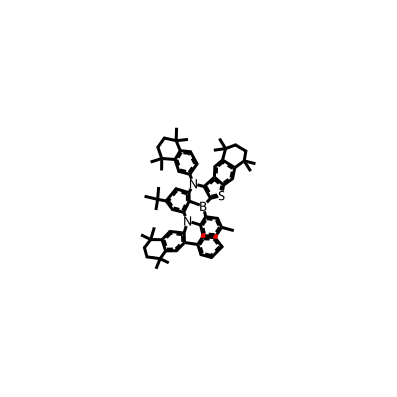 Cc1ccc2c(c1)B1c3sc4cc5c(cc4c3N(c3ccc4c(c3)C(C)(C)CCC4(C)C)c3cc(C(C)(C)C)cc(c31)N2c1cc2c(cc1-c1ccccc1)C(C)(C)CCC2(C)C)C(C)(C)CCC5(C)C